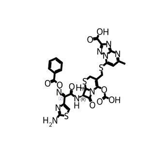 Cc1cc(SCC2=C(OC(=O)O)N3C(=O)[C@@H](NC(=O)/C(=N\OC(=O)c4ccccc4)c4csc(N)n4)[C@H]3SC2)n2nc(C(=O)O)nc2n1